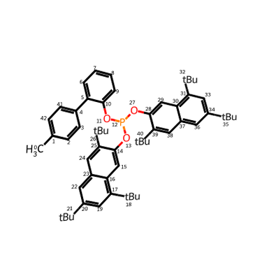 Cc1ccc(-c2ccccc2OP(Oc2cc3c(C(C)(C)C)cc(C(C)(C)C)cc3cc2C(C)(C)C)Oc2cc3c(C(C)(C)C)cc(C(C)(C)C)cc3cc2C(C)(C)C)cc1